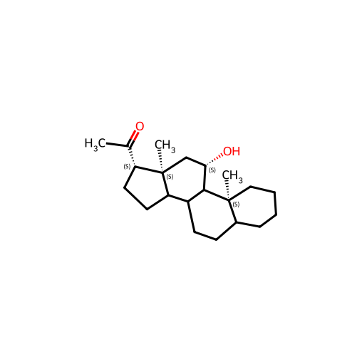 CC(=O)[C@H]1CCC2C3CCC4CCCC[C@]4(C)C3[C@@H](O)C[C@@]21C